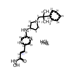 CC(C)(CN1CC[C@@H](Nc2cnc(/C=C/C(=O)NO)cn2)C1)c1ccccc1.Cl.Cl